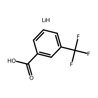 O=C(O)c1cccc(C(F)(F)F)c1.[LiH]